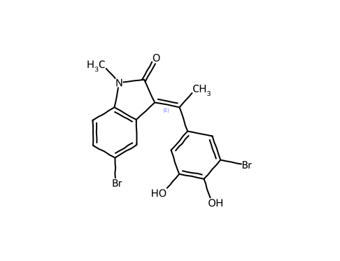 C/C(=C1\C(=O)N(C)c2ccc(Br)cc21)c1cc(O)c(O)c(Br)c1